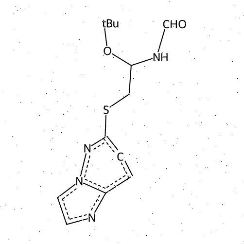 CC(C)(C)OC(CSc1ccc2nccn2n1)NC=O